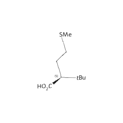 CSCC[C@H](C(=O)O)C(C)(C)C